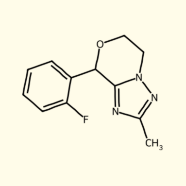 Cc1nc2n(n1)CCOC2c1ccccc1F